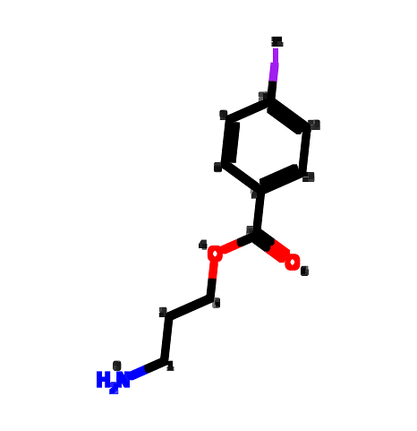 NCCCOC(=O)c1ccc(I)cc1